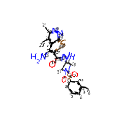 Cc1cccc(S(=O)(=O)N2CC(NC(=O)c3sc4nnc(C)c(C)c4c3N)C2)c1